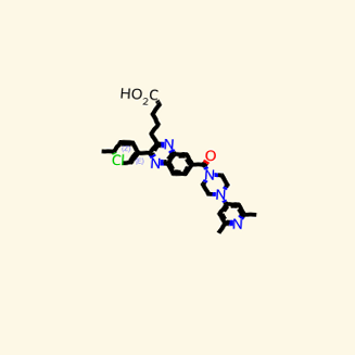 C/C=C(\C=C/C(C)Cl)c1nc2ccc(C(=O)N3CCN(c4cc(C)nc(C)c4)CC3)cc2nc1CCCCC(=O)O